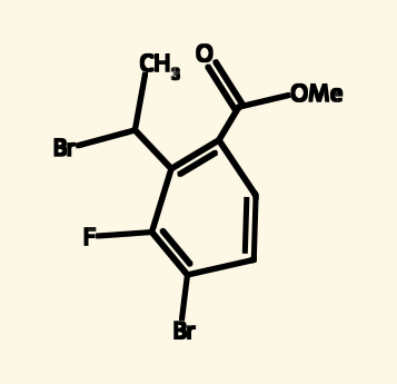 COC(=O)c1ccc(Br)c(F)c1C(C)Br